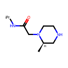 CC(C)NC(=O)CN1CCNC[C@H]1C